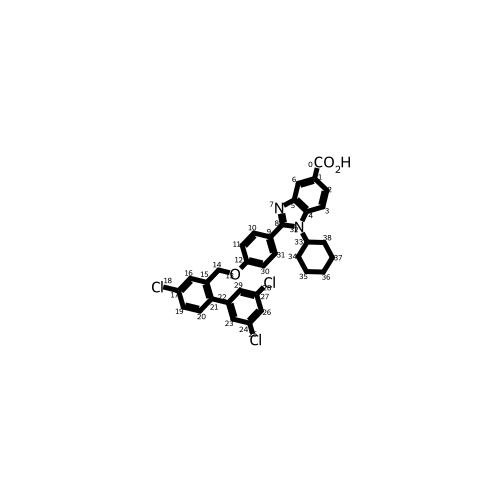 O=C(O)c1ccc2c(c1)nc(-c1ccc(OCc3cc(Cl)ccc3-c3cc(Cl)cc(Cl)c3)cc1)n2C1CCCCC1